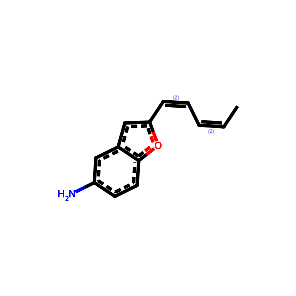 C/C=C\C=C/c1cc2cc(N)ccc2o1